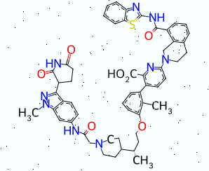 Cc1c(OCC[C@H](C)C2CCN(CC(=O)Nc3ccc4c(C5CCC(=O)NC5=O)nn(C)c4c3)CC2)cccc1-c1ccc(N2CCc3cccc(C(=O)Nc4nc5ccccc5s4)c3C2)nc1C(=O)O